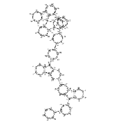 c1ccc(-c2cccc(-n3c4ccccc4c4cc(-c5ccc6c(c5)c5ccccc5n6-c5ccc(-c6ccc(-c7cccc(-c8ccccc8C8(c9ccccc9)c9ccccc9-c9ccccc98)c7)cc6)cc5)ccc43)c2)cc1